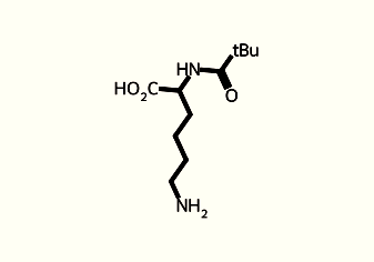 CC(C)(C)C(=O)NC(CCCCN)C(=O)O